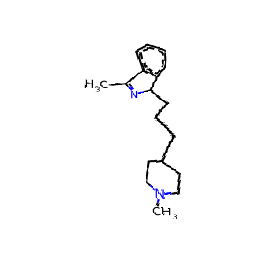 CC1=NC(CCCC2CCN(C)CC2)c2ccccc21